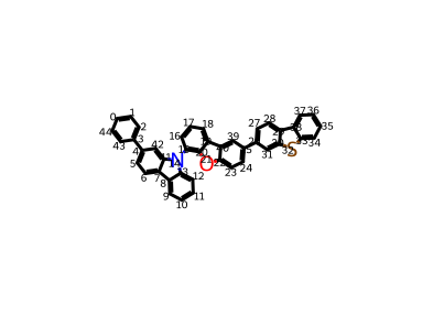 c1ccc(-c2ccc3c4ccccc4n(-c4cccc5c4oc4ccc(-c6ccc7c(c6)sc6ccccc67)cc45)c3c2)cc1